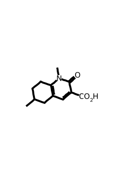 CC1CCc2c(cc(C(=O)O)c(=O)n2C)C1